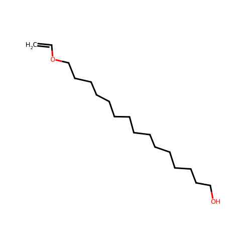 C=COCCCCCCCCCCCCCCCO